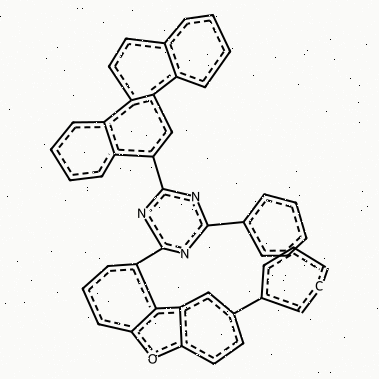 c1ccc(-c2ccc3oc4cccc(-c5nc(-c6ccccc6)nc(-c6cc7c8ccccc8ccc7c7ccccc67)n5)c4c3c2)cc1